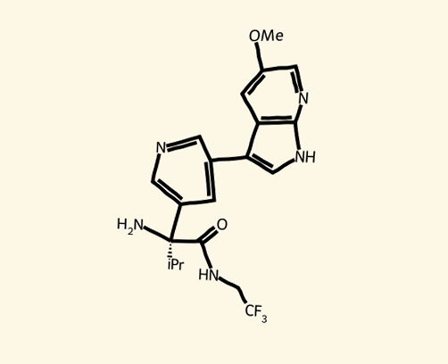 COc1cnc2[nH]cc(-c3cncc([C@](N)(C(=O)NCC(F)(F)F)C(C)C)c3)c2c1